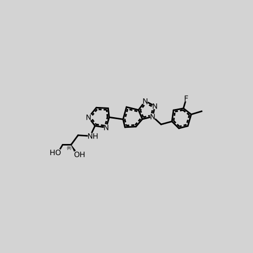 Cc1ccc(Cn2nnc3cc(-c4ccnc(NC[C@@H](O)CO)n4)ccc32)cc1F